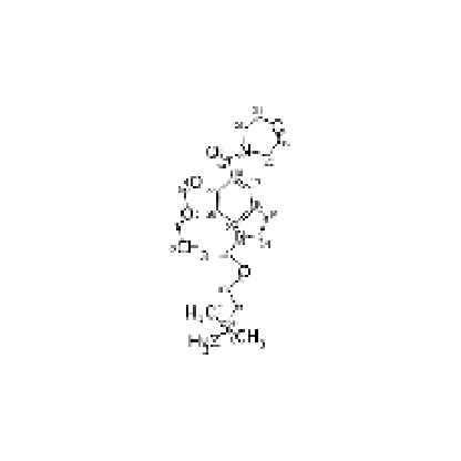 CCOC=O.C[Si](C)(C)CCOCn1ccc2cc(C(=O)N3CCOCC3)ccc21